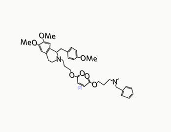 COc1ccc(CC2c3cc(OC)c(OC)cc3CCN2CCCOC(=O)/C=C\C(=O)OCCCN(C)Cc2ccccc2)cc1